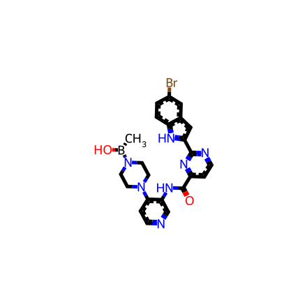 CB(O)N1CCN(c2ccncc2NC(=O)c2ccnc(-c3cc4cc(Br)ccc4[nH]3)n2)CC1